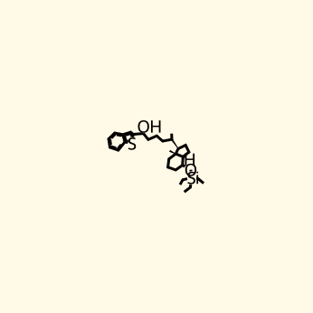 CC[Si](CC)(CC)OC1CCC[C@]2(C)[C@@H](C(C)CCCC(O)c3cc4ccccc4s3)CC[C@@H]12